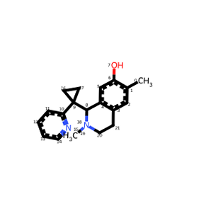 Cc1cc2c(cc1O)C(C1(c3ccccn3)CC1)N(C)CC2